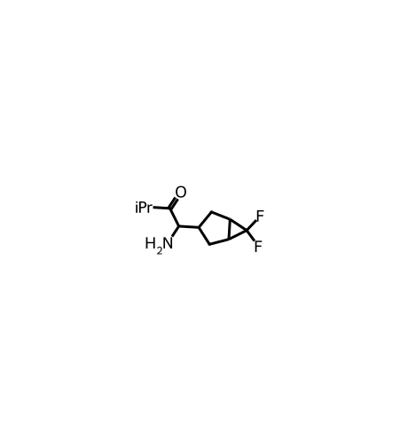 CC(C)C(=O)C(N)C1CC2C(C1)C2(F)F